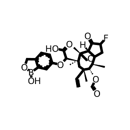 C=C[C@]1(C)C[C@@H](C(Oc2ccc3c(c2)B(O)OC3)C(=O)O)[C@@]2(C)[C@H](C)CC[C@]3(CC(F)C(=O)[C@H]32)[C@@H](C)[C@@H]1OC=O